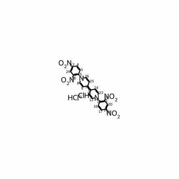 Cl.Cl.O=[N+]([O-])c1ccc(N2C=CC(=C3C=CN(c4ccc([N+](=O)[O-])cc4[N+](=O)[O-])C=C3)C=C2)c([N+](=O)[O-])c1